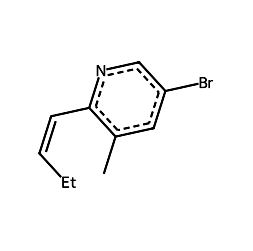 CC/C=C\c1ncc(Br)cc1C